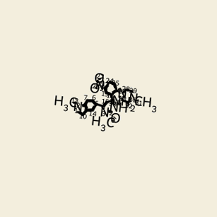 COC1=NC(c2ccc3c(ccn3C)c2)=CC(N)(c2cc([N+](=O)[O-])ccc2N2CCN(C)CC2)N1